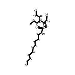 CCCCCCCCCCCC(=O)NC(CC)N(CCC)CCC